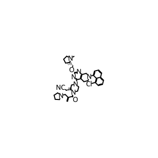 C=C(CN1CCCC1)C(=O)N1CCN(c2nc(OC[C@@H]3CCCN3C)nc3c2CCN(c2cccc4cccc(Cl)c24)C3)C[C@@H]1CC#N